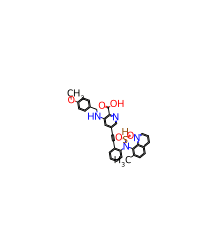 COc1ccc(CNc2cc(C#Cc3ccccc3N(c3c(C)ccc4cccnc34)[SH](=O)=O)cnc2C(=O)O)cc1